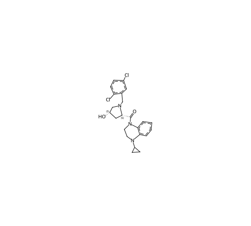 O=C([C@@H]1C[C@H](O)CN1Cc1cc(Cl)ccc1Cl)N1CCN(C2CC2)c2ccccc21